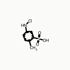 Cc1ccc(NCl)cc1S(=O)(=O)O